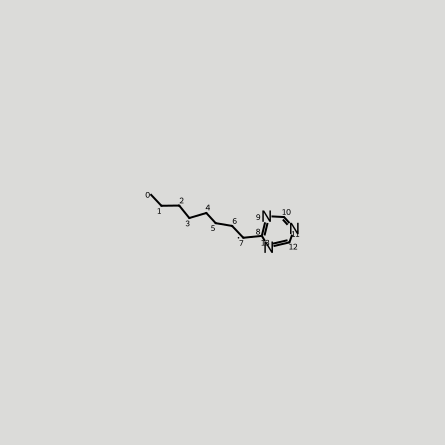 CCCCCCC[CH]c1ncncn1